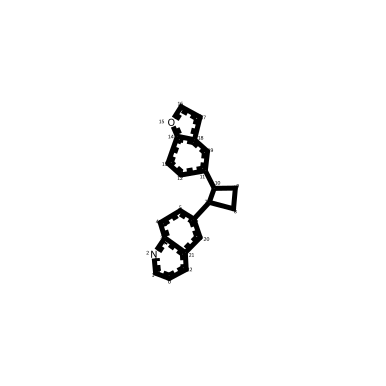 c1cnc2ccc(C3CCC3c3ccc4occc4c3)cc2c1